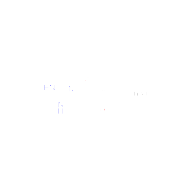 CCCCCC(=O)On1[nH][nH]1